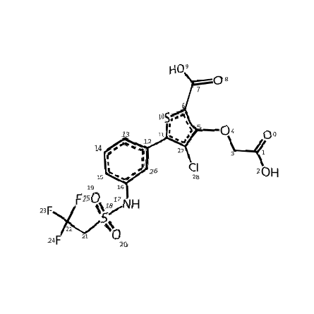 O=C(O)COc1c(C(=O)O)sc(-c2cccc(NS(=O)(=O)CC(F)(F)F)c2)c1Cl